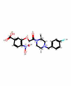 C[C@@H]1CN(C(=O)COc2cc(C(=O)O)ccc2[N+](=O)[O-])[C@@H](C)CN1Cc1ccc(F)cc1